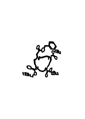 CC(C)(C)OC(=O)N1CCN(CC(=O)OCc2ccccc2)CCN(C(=O)OC(C)(C)C)CCN(C(=O)OC(C)(C)C)CC1